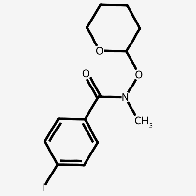 CN(OC1CCCCO1)C(=O)c1ccc(I)cc1